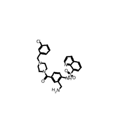 NCc1cc(C(=O)N2CCN(Cc3cccc(Cl)c3)CC2)ccc1NS(=O)(=O)c1cccc2cccnc12